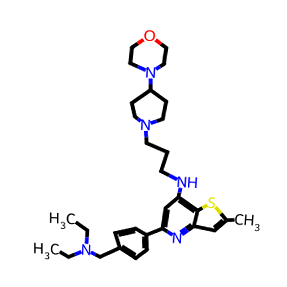 CCN(CC)Cc1ccc(-c2cc(NCCCN3CCC(N4CCOCC4)CC3)c3sc(C)cc3n2)cc1